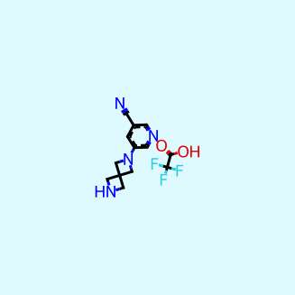 N#Cc1cncc(N2CC3(CNC3)C2)c1.O=C(O)C(F)(F)F